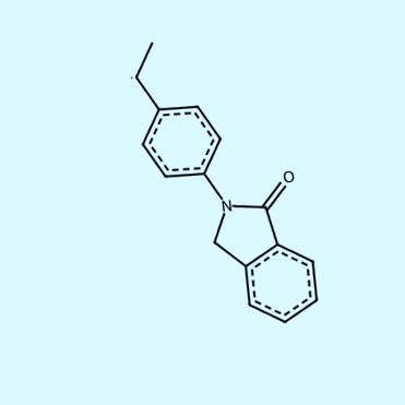 C[CH]c1ccc(N2Cc3ccccc3C2=O)cc1